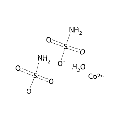 NS(=O)(=O)[O-].NS(=O)(=O)[O-].O.[Co+2]